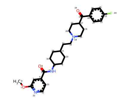 COc1cc(C(=O)NC2CCC(CCN3CCC(C(=O)c4ccc(F)cc4)CC3)CC2)ccn1